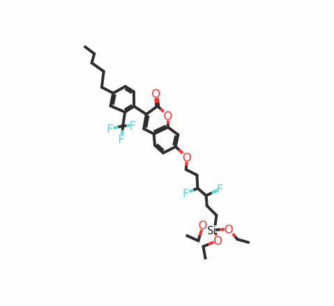 CCCCCc1ccc(-c2cc3ccc(OCCC(F)C(F)CC[Si](OCC)(OCC)OCC)cc3oc2=O)c(C(F)(F)F)c1